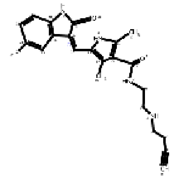 C#CCCNCCNC(=O)c1c(C)[nH]c(/C=C2\C(=O)Nc3ccc(F)cc32)c1C